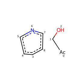 CC(=O)CO.c1ccncc1